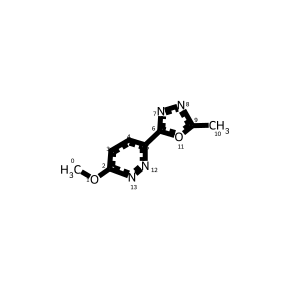 COc1ccc(-c2nnc(C)o2)nn1